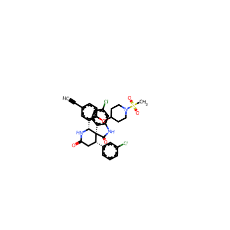 C#Cc1ccc(OC2CCN(S(C)(=O)=O)CC2)c([C@H]2NC(=O)C[C@@H](c3cccc(Cl)c3)[C@]23C(=O)Nc2cc(Cl)ccc23)c1